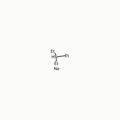 CC[SiH](CC)CC.[Na]